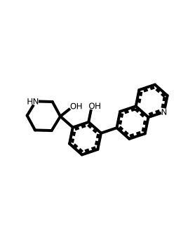 Oc1c(-c2ccc3ncccc3c2)cccc1C1(O)CCCNC1